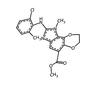 COC(=O)c1cc2nc(Nc3c(C)cccc3Cl)n(C)c2c2c1OCCO2